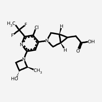 C[C@H]1[C@H](O)CN1c1cc(N2C[C@@H]3C(CC(=O)O)[C@@H]3C2)c(Cl)c(C(C)(F)F)n1